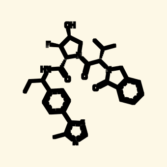 CCC(NC(=O)[C@@H]1[C@@H](F)[C@@H](O)CN1C(=O)[C@H](C(C)C)N1Cc2ccccc2C1=O)c1ccc(-c2scnc2C)cc1